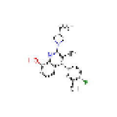 Cc1cc(-c2c(C(C)C)c(N3CC(C(=O)O)C3)nc3c(O)cccc23)ccc1F